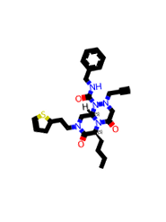 C#CCN1CC(=O)N2[C@@H](CCCC)C(=O)N(CCC3CC=CS3)C[C@@H]2N1C(=O)NCc1ccccc1